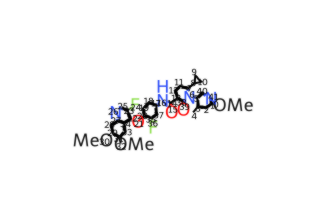 COc1cc(C)c(-n2c(C3CC3)ccc(C(=O)Nc3ccc(Oc4c(F)cnc5cc(OC)c(OC)cc45)c(F)c3)c2=O)cn1